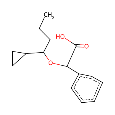 CCCC(OC(C(=O)O)c1ccccc1)C1CC1